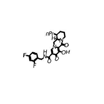 CCCC1CCCN2C(=O)c3c(O)c(=O)c(C(=O)NCc4ccc(F)cc4F)cn3C[C@H]12